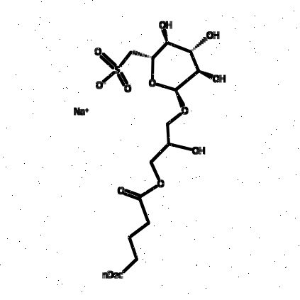 CCCCCCCCCCCCCC(=O)OCC(O)CO[C@H]1O[C@H](CS(=O)(=O)[O-])[C@@H](O)[C@H](O)[C@H]1O.[Na+]